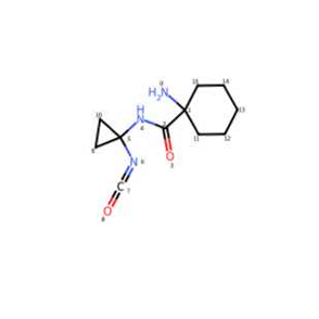 NC1(C(=O)NC2(N=C=O)CC2)CCCCC1